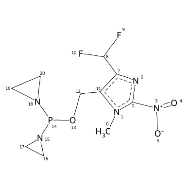 Cn1c([N+](=O)[O-])nc(C(F)F)c1COP(N1CC1)N1CC1